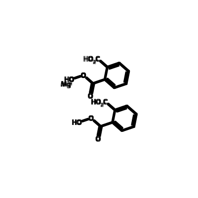 O=C(O)c1ccccc1C(=O)OO.O=C(O)c1ccccc1C(=O)OO.[Mg]